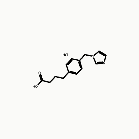 Cl.O=C(O)CCCc1ccc(Cn2ccnc2)cc1